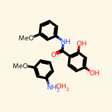 COc1cccc(N)c1.COc1cccc(NC(=O)c2ccc(O)cc2O)c1.O